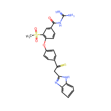 CS(=O)(=O)c1cc(C(=O)NC(=N)N)ccc1Oc1ccc(C(=S)Cc2nc3ccccc3[nH]2)cc1